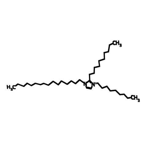 CCCCCCCCCCCCCCCCn1cc[n+](CCCCCCCCC)c1CCCCCCCCCC